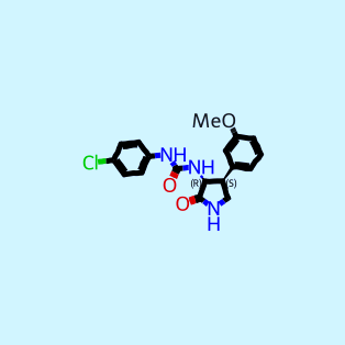 COc1cccc([C@H]2CNC(=O)[C@@H]2NC(=O)Nc2ccc(Cl)cc2)c1